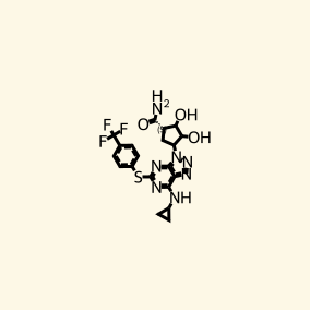 NC(=O)[C@H]1CC(n2nnc3c(NC4CC4)nc(Sc4ccc(C(F)(F)F)cc4)nc32)C(O)C1O